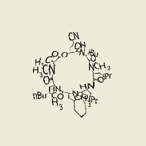 CCCC[C@@H](C)C[C@@H]1NC(=O)[C@H](CC2CCCCC2)N(C)C(=O)[C@H](CC(C)C)NC(=O)[C@H](CC(C)C)N(C)C(=O)C(C(C)CC)NC(=O)[C@@H](CCC#N)OC(=O)[C@H](C)N(C)C1=O